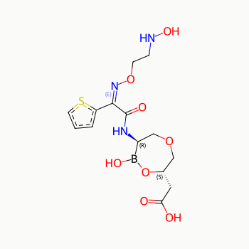 O=C(O)C[C@H]1COC[C@H](NC(=O)/C(=N\OCCNO)c2cccs2)B(O)O1